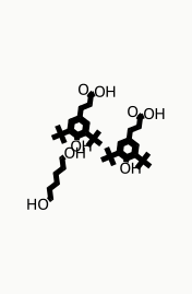 CC(C)(C)c1cc(CCC(=O)O)cc(C(C)(C)C)c1O.CC(C)(C)c1cc(CCC(=O)O)cc(C(C)(C)C)c1O.OCCCCCCO